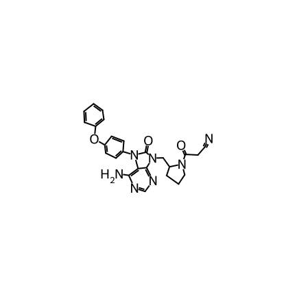 N#CCC(=O)N1CCCC1Cn1c(=O)n(-c2ccc(Oc3ccccc3)cc2)c2c(N)ncnc21